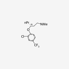 CCC[C@H](CCNC)Oc1ccc(C(F)(F)F)cc1Cl